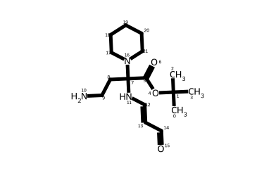 CC(C)(C)OC(=O)C(CCN)(NC=CC=O)N1CCCCC1